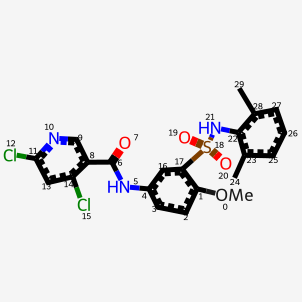 COc1ccc(NC(=O)c2cnc(Cl)cc2Cl)cc1S(=O)(=O)Nc1c(C)cccc1C